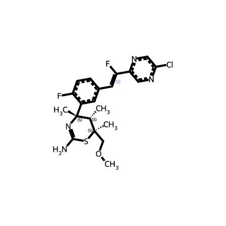 COC[C@@]1(C)SC(N)=N[C@](C)(c2cc(/C=C(\F)c3cnc(Cl)cn3)ccc2F)[C@@H]1C